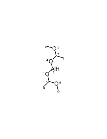 COC(C)[O][AlH][O]C(C)OC